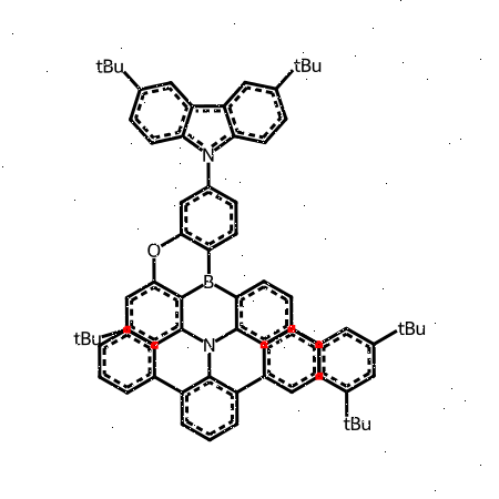 CC(C)(C)c1cc(-c2ccc3c(c2)N(c2c(-c4ccccc4)cccc2-c2ccccc2)c2cc(C(C)(C)C)cc4c2B3c2ccc(-n3c5ccc(C(C)(C)C)cc5c5cc(C(C)(C)C)ccc53)cc2O4)cc(C(C)(C)C)c1